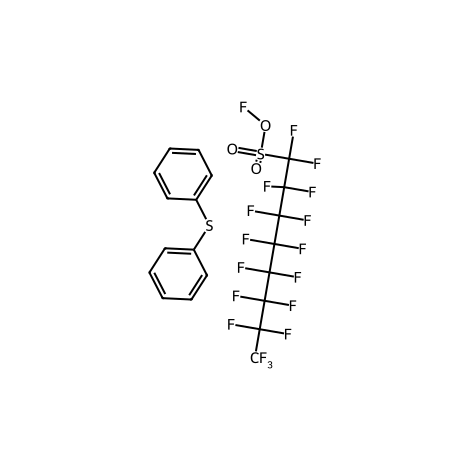 O=S(=O)(OF)C(F)(F)C(F)(F)C(F)(F)C(F)(F)C(F)(F)C(F)(F)C(F)(F)C(F)(F)F.c1ccc(Sc2ccccc2)cc1